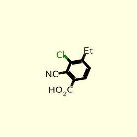 CCc1ccc(C(=O)O)c(C#N)c1Cl